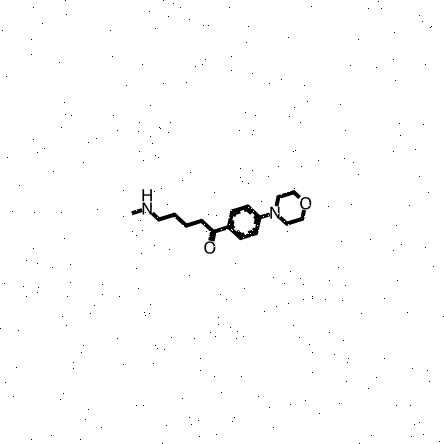 CNCCCCC(=O)c1ccc(N2CCOCC2)cc1